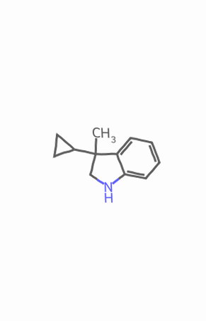 CC1(C2CC2)CNc2ccccc21